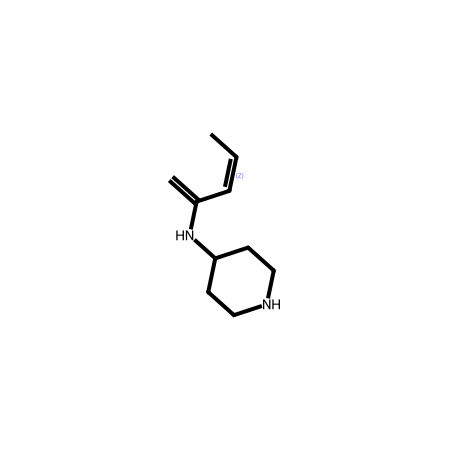 C=C(/C=C\C)NC1CCNCC1